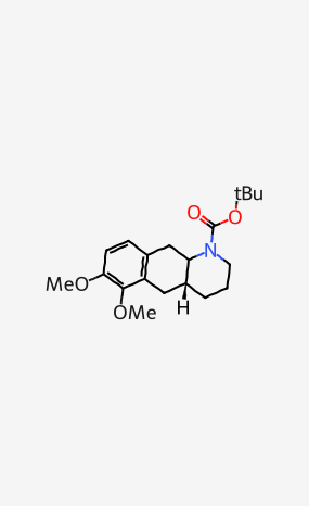 COc1ccc2c(c1OC)C[C@H]1CCCN(C(=O)OC(C)(C)C)C1C2